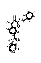 C[C@@H](NC(=O)OCc1ccccc1)c1ccc(C(=O)Nc2ccncc2)cc1